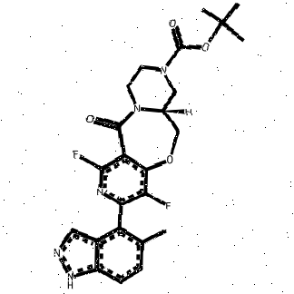 Cc1ccc2[nH]ncc2c1-c1nc(F)c2c(c1F)OC[C@H]1CN(C(=O)OC(C)(C)C)CCN1C2=O